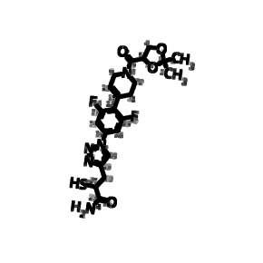 CC1(C)OCC(C(=O)N2CC=C(c3c(F)cc(-n4cc(CC(S)C(N)=O)nn4)cc3F)CC2)O1